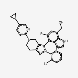 CCc1cccc(CC)c1-n1nc2c(c1-c1c(F)cc(CO)c3[nH]ccc13)CN(c1ncc(C3CC3)cn1)CC2